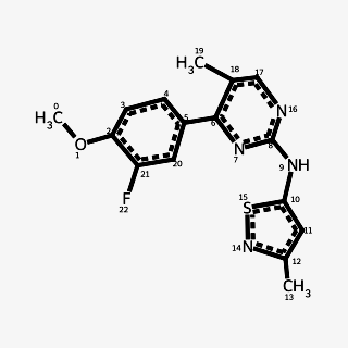 COc1ccc(-c2nc(Nc3cc(C)ns3)ncc2C)cc1F